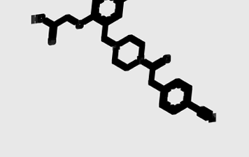 N#Cc1ccc(CC(=O)N2CCN(Cc3cc(Cl)ccc3OCC(=O)O)CC2)cc1